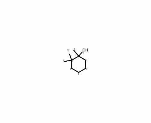 CC1(O)CCCCC1(C)I